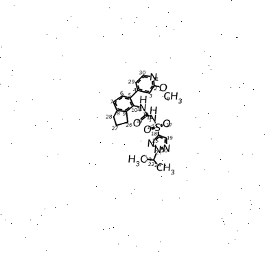 COc1cc(-c2ccc3c(c2NC(=O)NS(=O)(=O)c2cnn(C(C)C)n2)CCC3)ccn1